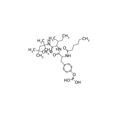 CCCCCC(=O)NC(Cc1ccc(OP(O)O)cc1)C(=O)NC(C(=O)NC(C)(C)CC(C)(C)C)C(C)CC